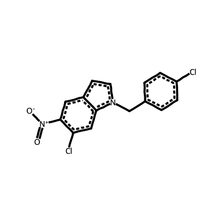 O=[N+]([O-])c1cc2ccn(Cc3ccc(Cl)cc3)c2cc1Cl